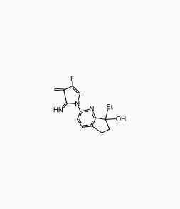 C=C1C(=N)N(c2ccc3c(n2)C(O)(CC)CC3)C=C1F